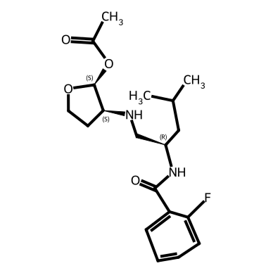 CC(=O)O[C@@H]1OCC[C@@H]1NC[C@@H](CC(C)C)NC(=O)c1ccccc1F